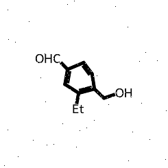 CCc1cc(C=O)ccc1CO